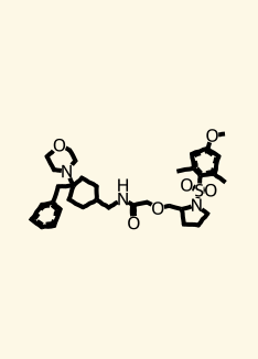 COc1cc(C)c(S(=O)(=O)N2CCCC2COCC(=O)NCC2CCC(Cc3ccccc3)(N3CCOCC3)CC2)c(C)c1